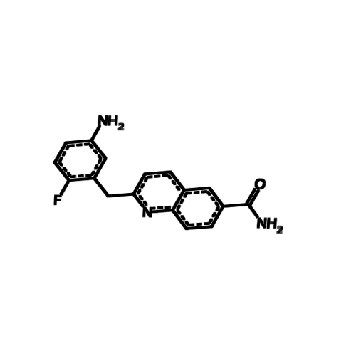 NC(=O)c1ccc2nc(Cc3cc(N)ccc3F)ccc2c1